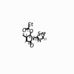 CCC(=O)OC1C(C)=CC(=O)N1c1ncns1